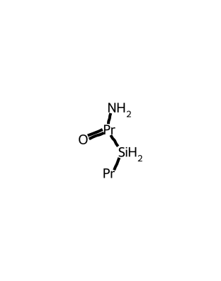 [NH2][Pr](=[O])[SiH2][Pr]